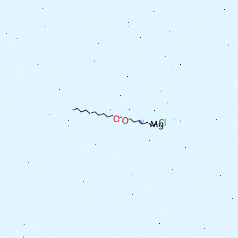 CCCCCCCCCCOCOCC/C=C/C[CH2][Mg][Cl]